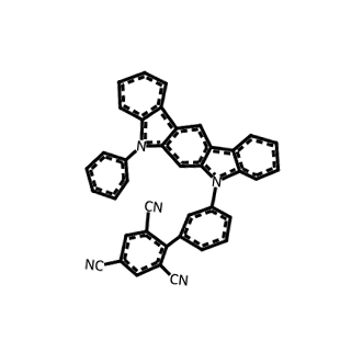 N#Cc1cc(C#N)c(-c2cccc(-n3c4ccccc4c4cc5c6ccccc6n(-c6ccccc6)c5cc43)c2)c(C#N)c1